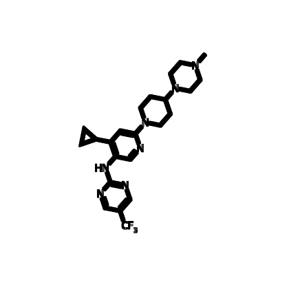 CN1CCN(C2CCN(c3cc(C4CC4)c(Nc4ncc(C(F)(F)F)cn4)cn3)CC2)CC1